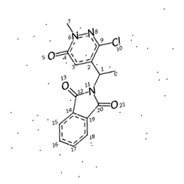 CC(c1cc(=O)n(C)nc1Cl)N1C(=O)c2ccccc2C1=O